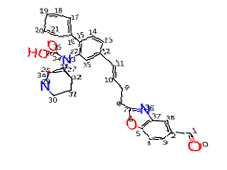 O=Cc1ccc2oc(CCC=Cc3ccc(-c4ccccc4)c(N(C(=O)O)C4CN5CCC4CC5)c3)nc2c1